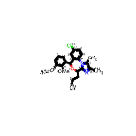 COc1cccc(C2OC(CCC#N)c3nc(C)c(C)n3-c3ccc(Cl)cc32)c1OC